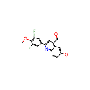 COc1ccc2nc(-c3cc(F)c(OC)c(F)c3)cc(C=O)c2c1